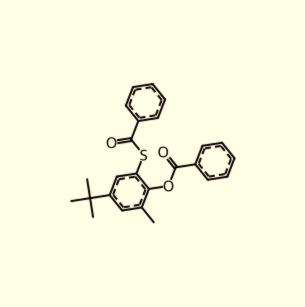 Cc1cc(C(C)(C)C)cc(SC(=O)c2ccccc2)c1OC(=O)c1ccccc1